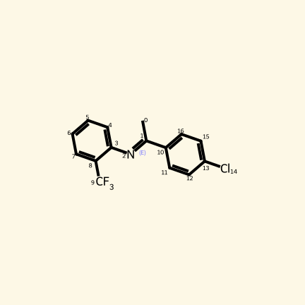 C/C(=N\c1ccccc1C(F)(F)F)c1ccc(Cl)cc1